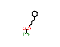 O=C(OCCCCC1CCCCC1)C(F)F